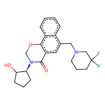 O=C1c2cc(CN3CCCC(F)(F)C3)c3ccccc3c2OCN1[C@H]1CCCC1O